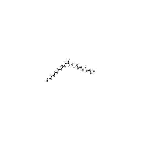 CCCCCCCCCOCCC(C)CCOCCCCCCCCC